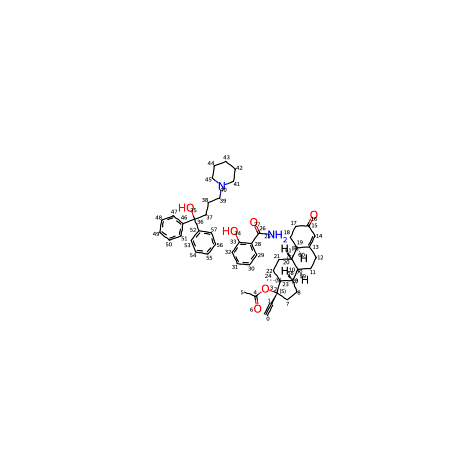 C#C[C@]1(OC(C)=O)CC[C@H]2[C@@H]3CCC4=CC(=O)CC[C@@H]4[C@H]3CC[C@@]21C.NC(=O)c1ccccc1O.OC(CCCN1CCCCC1)(c1ccccc1)c1ccccc1